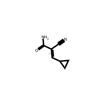 N#C/C(=C\C1CC1)C(N)=O